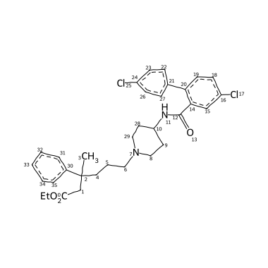 CCOC(=O)CC(C)(CCCN1CCC(NC(=O)c2cc(Cl)ccc2-c2ccc(Cl)cc2)CC1)c1ccccc1